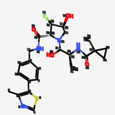 Cc1ncsc1-c1ccc(CNC(=O)[C@@H]2[C@@H](F)[C@@H](O)CN2C(O)[C@@H](NC(=O)C2(C#N)CC2)C(C)(C)C)cc1